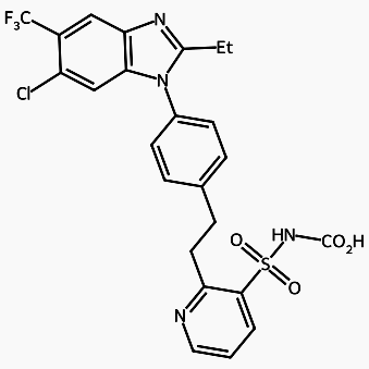 CCc1nc2cc(C(F)(F)F)c(Cl)cc2n1-c1ccc(CCc2ncccc2S(=O)(=O)NC(=O)O)cc1